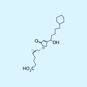 O=C(O)CCC/C=C\C[C@H]1CC(C(O)CCCCC2CCCCC2)=CC1=O